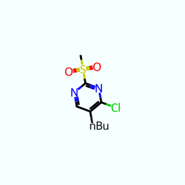 CCCCc1cnc(S(C)(=O)=O)nc1Cl